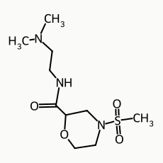 CN(C)CCNC(=O)C1CN(S(C)(=O)=O)CCO1